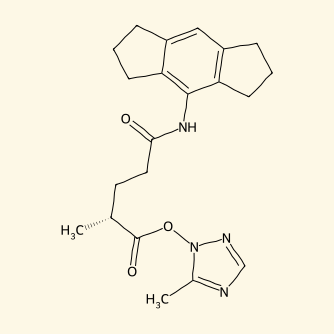 Cc1ncnn1OC(=O)[C@H](C)CCC(=O)Nc1c2c(cc3c1CCC3)CCC2